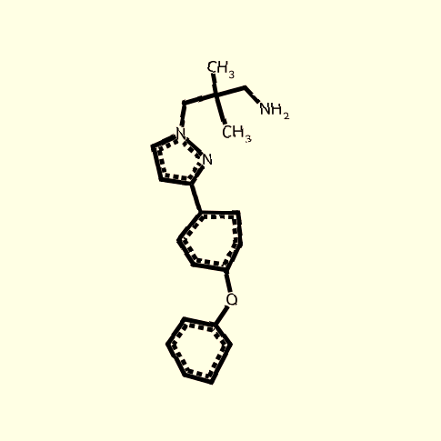 CC(C)(CN)Cn1ccc(-c2ccc(Oc3ccccc3)cc2)n1